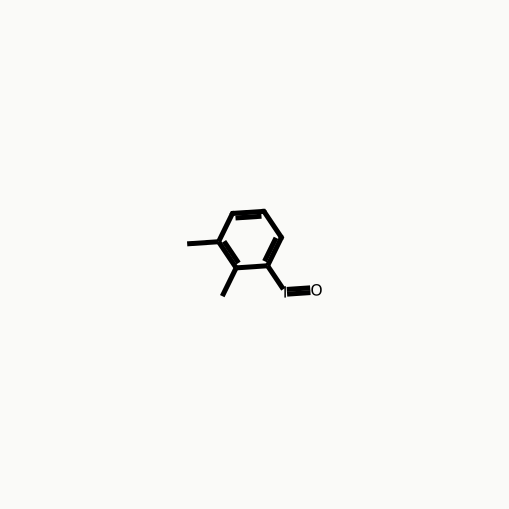 Cc1cccc(I=O)c1C